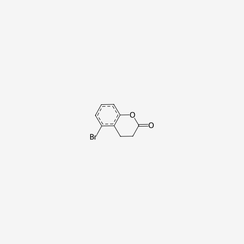 O=C1CCc2c(Br)cccc2O1